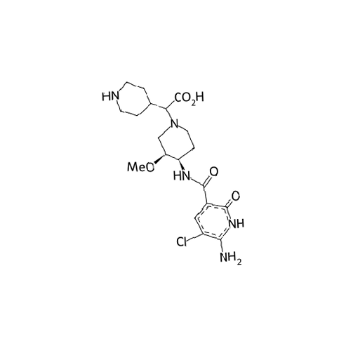 CO[C@H]1CN(C(C(=O)O)C2CCNCC2)CC[C@H]1NC(=O)c1cc(Cl)c(N)[nH]c1=O